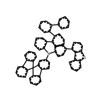 c1ccc(-c2ccccc2-c2ccccc2-c2ccccc2N(c2ccc(-c3cccc4sc5ccccc5c34)cc2)c2ccc3c(c2)C2(c4ccccc4-c4ccccc42)c2ccccc2-3)cc1